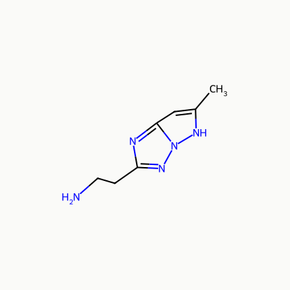 Cc1cc2nc(CCN)nn2[nH]1